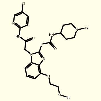 CCOCCOc1cccc2c1nc(OC(=O)NC1CCN(C(C)C)CC1)n2CC(=O)Nc1ccc(Cl)cn1